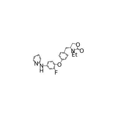 CCN1C(=O)OC[C@@H]1Cc1ccc(Oc2ccc(Nc3ccccn3)cc2F)cc1